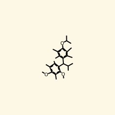 COc1c(C)c(C)c(C(c2c(C)c(C)c(OC(C)C)c(C)c2C)C(C)C)c(OC)c1C